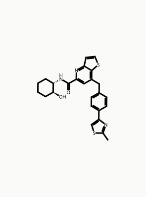 Cc1nc(-c2ccc(Cc3cc(C(=O)N[C@H]4CCCC[C@@H]4O)nc4ccsc34)cc2)cs1